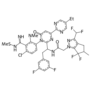 CCc1cnc(-c2cc(=O)n(-c3ccc(Cl)c(C(=N)NSC)c3NC)c(C(Cc3cc(F)cc(F)c3)NC(=O)Cn3nc(C(F)F)c4c3C(F)(F)C(C)C4)n2)nc1